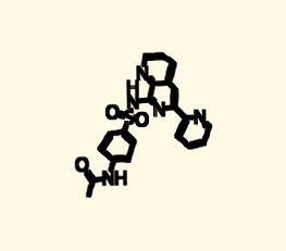 CC(=O)Nc1ccc(S(=O)(=O)Nc2nc(-c3ccccn3)cc3cccnc23)cc1